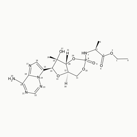 CCOC(=O)[C@H](C)NP1(=O)OC[C@H]2O[C@@H](c3cnc4c(N)ncnn34)[C@](C)(O)[C@@H]2O1